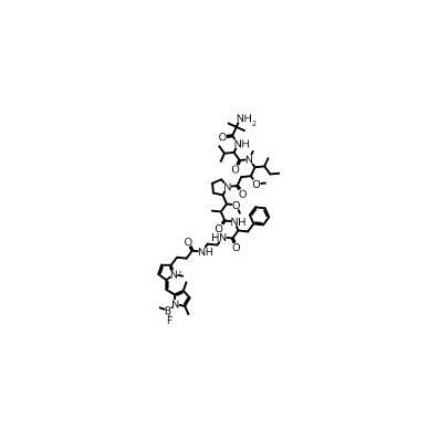 CCC(C)C(C(CC(=O)N1CCCC1C(OC)C(C)C(=O)NC(Cc1ccccc1)C(=O)NCCNC(=O)CCC1=[N+](C)/C(=C\c2c(C)cc(C)n2B(C)F)C=C1)OC)N(C)C(=O)C(NC(=O)C(C)(C)N)C(C)C